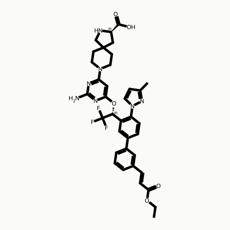 CCOC(=O)C=Cc1cccc(-c2ccc(-n3ccc(C)n3)c([C@@H](Oc3cc(N4CCC5(CC4)CN[C@@H](C(=O)O)C5)nc(N)n3)C(F)(F)F)c2)c1